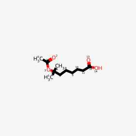 CC(=O)OC(C)(C)CCCCCC(=O)O